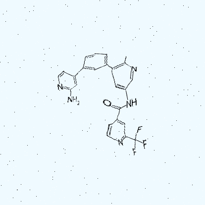 Cc1ncc(NC(=O)c2ccnc(C(F)(F)F)c2)cc1-c1cccc(-c2ccnc(N)c2)c1